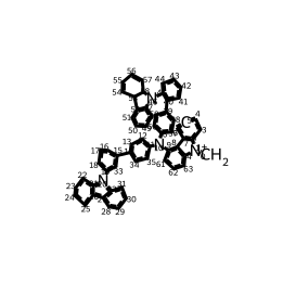 C=[N+]1c2ccccc2-c2c(N(c3ccc(-c4cccc(-n5c6ccccc6c6ccccc65)c4)cc3)c3ccc(-c4ccccc4N4c5ccccc5C5C=CC=CC54)cc3)cccc21